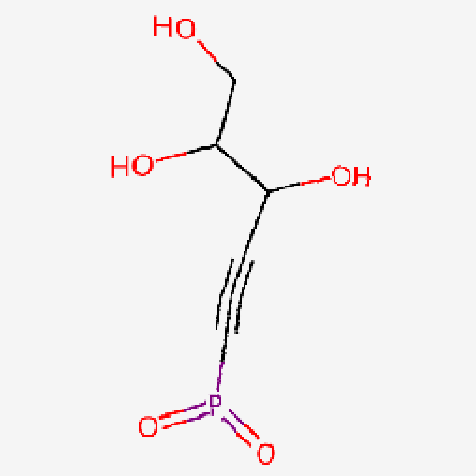 O=P(=O)C#CC(O)C(O)CO